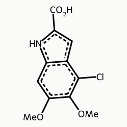 COc1cc2[nH]c(C(=O)O)cc2c(Cl)c1OC